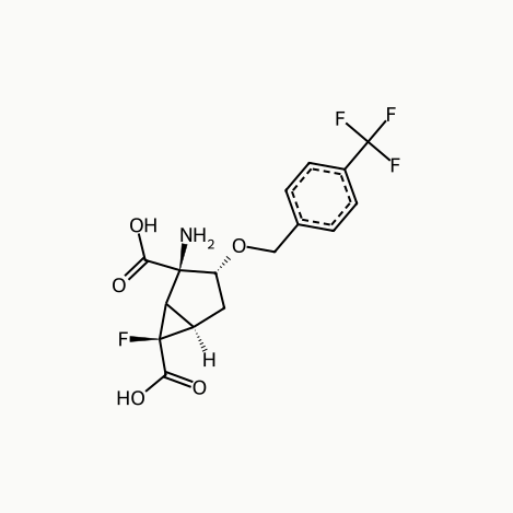 N[C@]1(C(=O)O)C2[C@@H](C[C@H]1OCc1ccc(C(F)(F)F)cc1)[C@]2(F)C(=O)O